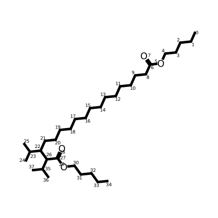 CCCCCOC(=O)CCCCCCCCCCCCCCC(C(C)C)C(C(=O)OCCCCC)C(C)C